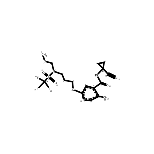 COCN(CCCOc1cc(C(=O)NC2(C#N)CC2)c(C)cn1)S(=O)(=O)C(F)(F)F